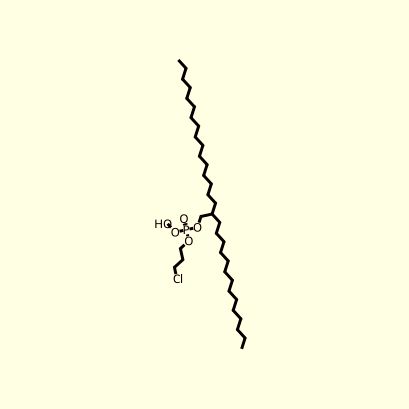 CCCCCCCCCCCCCCCCC(CCCCCCCCCCCCCC)COP(=O)(OO)OCCCCl